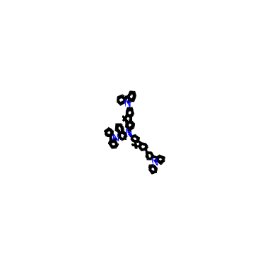 CC1(C)c2cc(-c3ccc4c(c3)c3ccccc3n4-c3ccccc3)ccc2-c2ccc(N(c3ccc4c(c3)C(C)(C)c3cc(-n5c6ccccc6c6ccccc65)ccc3-4)c3ccc(-n4c5ccccc5c5ccccc54)c4ccccc34)cc21